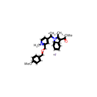 COC(=O)c1c(C)n(C(C)c2cc[n+](C)c(COCc3ccc(OC)cc3)c2)c2ccccc12.[I-]